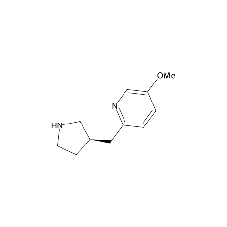 COc1ccc(C[C@H]2CCNC2)nc1